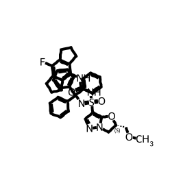 COC[C@@H]1Cn2ncc(S(=O)(=NC(c3ccccc3)(c3ccccc3)c3ccccc3)NC(=O)Nc3c4c(c(F)c5c3CCC5)CCC4)c2O1